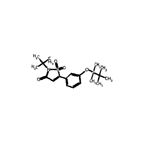 CC(C)(C)N1C(=O)C=C(c2cccc(O[Si](C)(C)C(C)(C)C)c2)S1(=O)=O